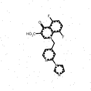 O=C(O)c1cn(Cc2ccnc(-n3ccnc3)c2)c2c(F)ccc(F)c2c1=O